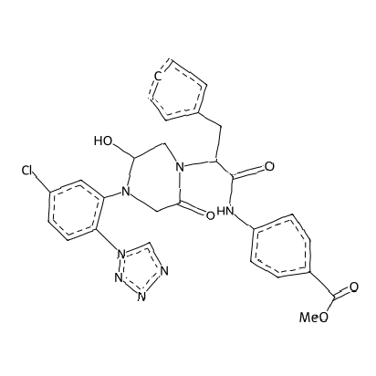 COC(=O)c1ccc(NC(=O)C(Cc2ccccc2)N2CC(O)N(c3cc(Cl)ccc3-n3cnnn3)CC2=O)cc1